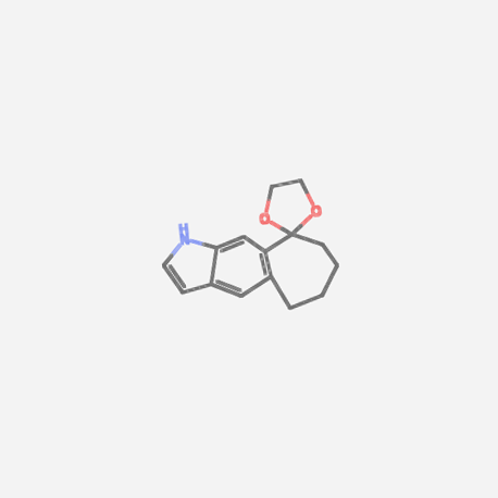 c1cc2cc3c(cc2[nH]1)C1(CCCC3)OCCO1